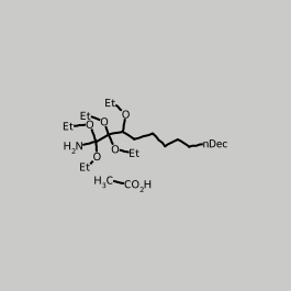 CC(=O)O.CCCCCCCCCCCCCCCC(OCC)C(OCC)(OCC)C(N)(OCC)OCC